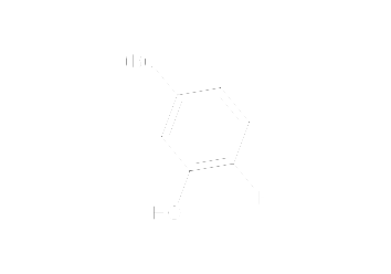 CC(C)(C)c1ccc(F)c(O)c1